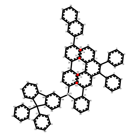 c1ccc(-c2c(-c3ccccc3)c3cc(-c4ccccc4N(c4ccc(-c5ccc(-c6ccc7ccccc7c6)cc5)cc4)c4ccc5c(c4)-c4ccccc4C5(c4ccccc4)c4ccccc4)ccc3c3ccccc23)cc1